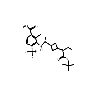 CCN(C(=O)OC(C)(C)C)C1CC([C@H](C)Nc2c(C(F)(F)F)ccc(C(=O)O)c2C)C1